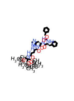 CC(C)(C)[Si](C)(C)OCC(CO[Si](C)(C)C(C)(C)C)(CO[Si](C)(C)C(C)(C)C)NC(=O)CCCC(=O)NC(=O)[C@H](Cc1c[nH]cn1)NC(=O)[C@H](Cc1ccccc1)NC(=O)OCc1ccccc1